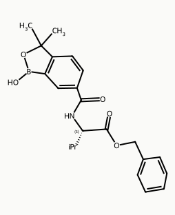 CC(C)[C@H](NC(=O)c1ccc2c(c1)B(O)OC2(C)C)C(=O)OCc1ccccc1